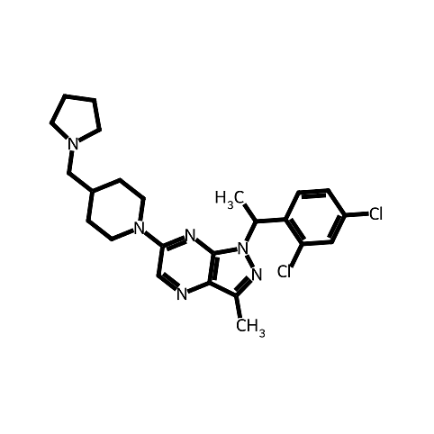 Cc1nn(C(C)c2ccc(Cl)cc2Cl)c2nc(N3CCC(CN4CCCC4)CC3)cnc12